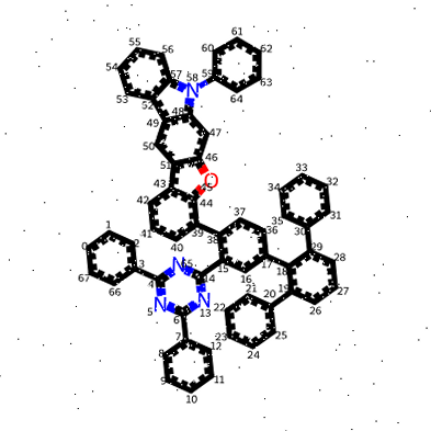 c1ccc(-c2nc(-c3ccccc3)nc(-c3cc(-c4c(-c5ccccc5)cccc4-c4ccccc4)ccc3-c3cccc4c3oc3cc5c(cc34)c3ccccc3n5-c3ccccc3)n2)cc1